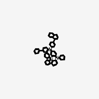 c1ccc(-c2ccc(N(c3ccc(-c4cccc5ccccc45)cc3)c3ccc4c(c3)[Si](c3ccccc3)(c3ccccc3)c3ccccc3N4c3ccccc3)cc2)cc1